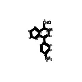 Nc1ccc(C2=NNC(C=O)c3ccccc32)cc1